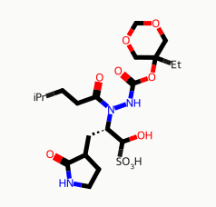 CCC1(OC(=O)NN(C(=O)CCC(C)C)[C@@H](CC2CCNC2=O)C(O)S(=O)(=O)O)COCOC1